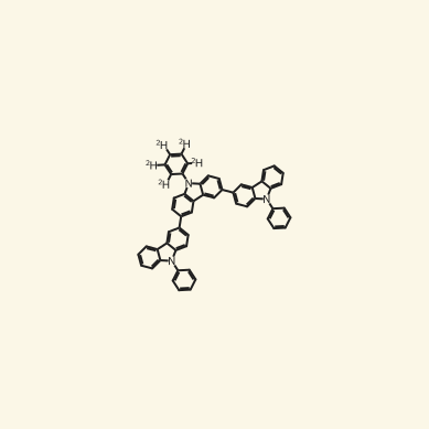 [2H]c1c([2H])c([2H])c(-n2c3ccc(-c4ccc5c(c4)c4ccccc4n5-c4ccccc4)cc3c3cc(-c4ccc5c(c4)c4ccccc4n5-c4ccccc4)ccc32)c([2H])c1[2H]